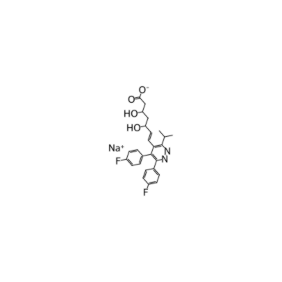 CC(C)c1nnc(-c2ccc(F)cc2)c(-c2ccc(F)cc2)c1C=CC(O)CC(O)CC(=O)[O-].[Na+]